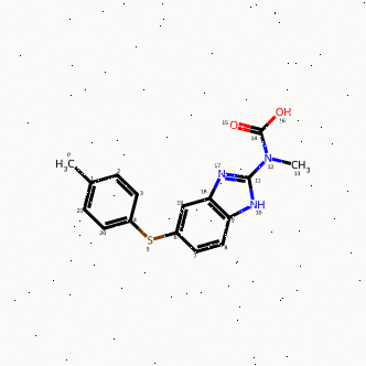 Cc1ccc(Sc2ccc3[nH]c(N(C)C(=O)O)nc3c2)cc1